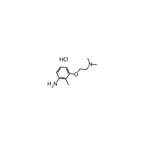 Cc1c(N)cccc1OCCN(C)C.Cl